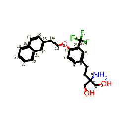 NC(CO)(CO)CCc1ccc(OCCc2ccc3ccccc3c2)c(C(F)(F)F)c1